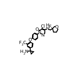 NC1(c2ccc(Oc3ccc(-n4ncc(NC[C@@]5(F)CCCOC5)c(Cl)c4=O)cc3)c(C(F)(F)F)c2)CC1